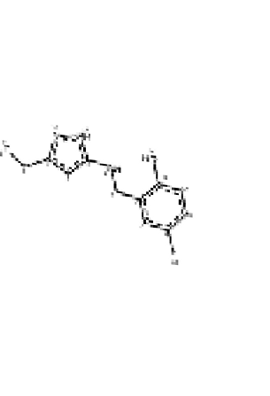 CCc1cc(NCc2cc(F)ccc2O)[nH]n1